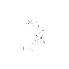 CCCC(=O)OC[C@@]12CO[C@@](c3ccc(Cl)c(Cc4ccc(C(=N)CC)cc4)c3)(O1)[C@H](O)[C@@H](O)[C@@H]2O